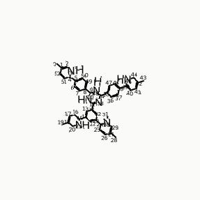 CC1=CNC(c2ccc(C3NC(c4cc(C5=CC=C(C)CN5)cc(C5C=CC(C)=CN5C)c4)=NC(c4ccc(C5=CC=C(C)CN5)cc4)N3)cc2)C=C1